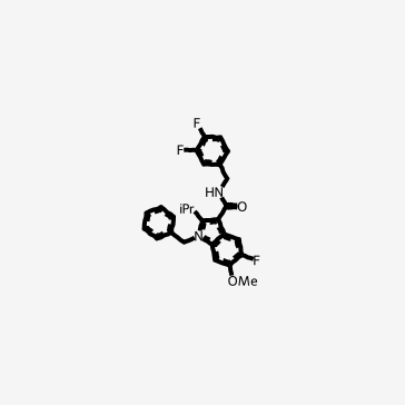 COc1cc2c(cc1F)c(C(=O)NCc1ccc(F)c(F)c1)c(C(C)C)n2Cc1ccccc1